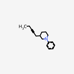 CCC#CCC1CCCN(c2ccccc2)C1